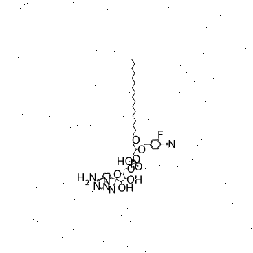 CCCCCCCCCCCCCCCCCOC[C@H](COP(=O)(O)OC[C@H]1O[C@@](C#N)(c2ccc3c(N)ncnn23)[C@H](O)[C@@H]1O)OCc1ccc(C#N)c(F)c1